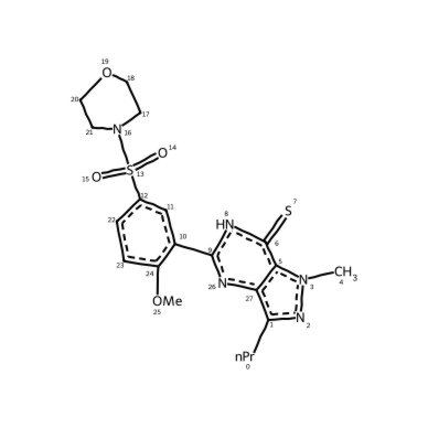 CCCc1nn(C)c2c(=S)[nH]c(-c3cc(S(=O)(=O)N4CCOCC4)ccc3OC)nc12